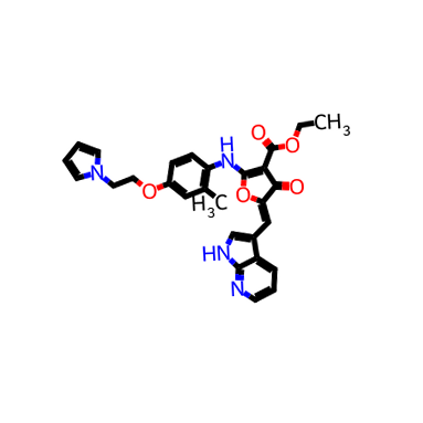 CCOC(=O)C1=C(Nc2ccc(OCCn3cccc3)cc2C)OC(=Cc2c[nH]c3ncccc23)C1=O